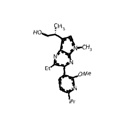 CCc1nc2c([C@@H](C)CO)cn(C)c2nc1-c1ccc(C(C)C)nc1OC